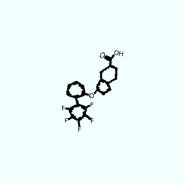 O=C(O)C1CCc2ccc(Oc3ccccc3-c3c(F)c(F)c(F)c(F)c3F)cc2C1